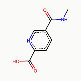 CNC(=O)c1ccc(C(=O)O)nc1